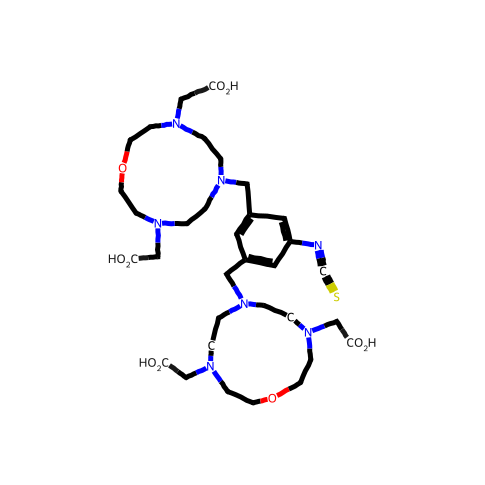 O=C(O)CN1CCOCCN(CC(=O)O)CCN(Cc2cc(CN3CCN(CC(=O)O)CCOCCN(CC(=O)O)CC3)cc(N=C=S)c2)CC1